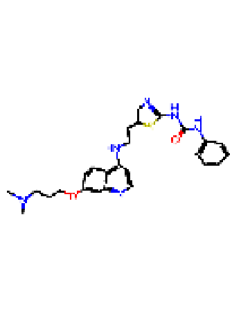 CN(C)CCCOc1ccc2c(NCCC3CN=C(NC(=O)Nc4ccccc4)S3)ccnc2c1